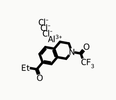 CCC(=O)c1ccc2c(c1)CN(C(=O)C(F)(F)F)CC2.[Al+3].[Cl-].[Cl-].[Cl-]